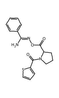 NC(=NOC(=O)C1CCCN1C(=O)c1cccs1)c1ccccc1